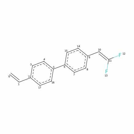 C=Cc1ccc(-c2ccc(C=C(F)F)cc2)cc1